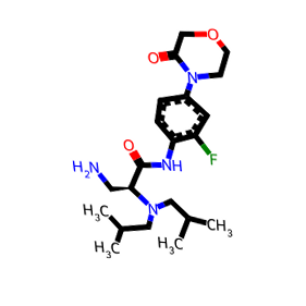 CC(C)CN(CC(C)C)[C@@H](CN)C(=O)Nc1ccc(N2CCOCC2=O)cc1F